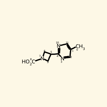 Cc1cnc(C2CN(C(=O)O)C2)nc1